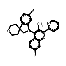 Cc1c(-c2ccccn2)nc2cc(F)ccc2c1N1CC2(CCOCC2)c2ccc(Br)cc21